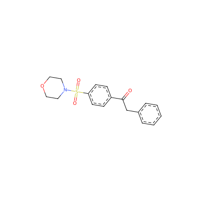 O=C(Cc1ccccc1)c1ccc(S(=O)(=O)N2CCOCC2)cc1